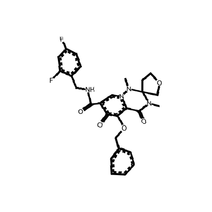 CN1C(=O)c2c(OCc3ccccc3)c(=O)c(C(=O)NCc3ccc(F)cc3F)cn2N(C)C12CCOC2